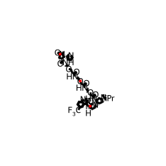 CC(C)N(C)[C@@H]1CC[C@H](N2CC[C@H](Nc3ncnc4ccc(C(F)(F)F)cc34)C2=O)[C@H](NC(=O)COCCNC(=O)COCCNC(=O)CCOCCNC(=O)[C@H]2CC(=O)N(C)[C@@H]2c2cccnc2)C1